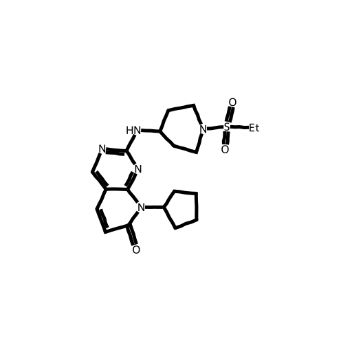 CCS(=O)(=O)N1CCC(Nc2ncc3ccc(=O)n(C4CCCC4)c3n2)CC1